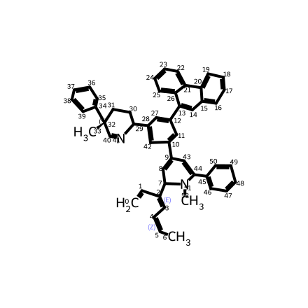 C=C/C(=C\C=C/C)C1C=C(c2cc(-c3cc4ccccc4c4ccccc34)cc(C3CC[C@@](C)(c4ccccc4)C=N3)c2)C=C(c2ccccc2)N1C